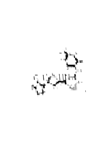 Cn1ncnc1-c1csc(C(=O)N[C@H](CN)Cc2ccc(Cl)cc2)c1